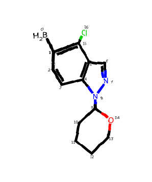 Bc1ccc2c(cnn2C2CCCCO2)c1Cl